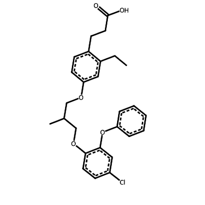 CCc1cc(OCC(C)COc2ccc(Cl)cc2Oc2ccccc2)ccc1CCC(=O)O